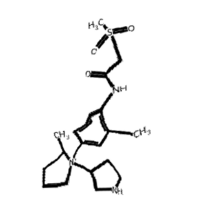 Cc1cc([N+]2(C3CCNC3)CCCC2C)ccc1NC(=O)CS(C)(=O)=O